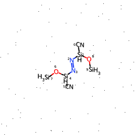 N#C[SiH](N=N[SiH](C#N)O[SiH3])O[SiH3]